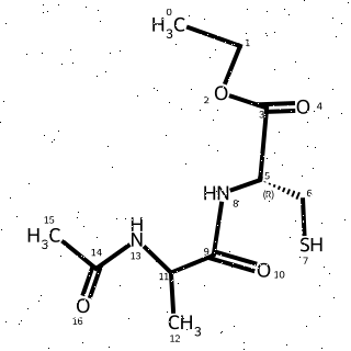 CCOC(=O)[C@H](CS)NC(=O)C(C)NC(C)=O